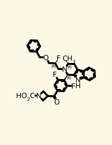 C[C@@H]1Cc2c([nH]c3ccccc23)[C@@H](c2c(F)cc(C(=O)C3CN(C(=O)O)C3)cc2F)N1C[C@@H](F)COCc1ccccc1